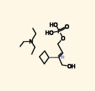 CCN(CC)CC.O=P(O)(O)OC/C=C(/CO)C1CCC1